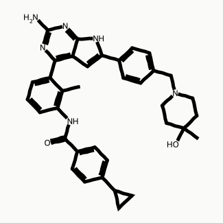 Cc1c(NC(=O)c2ccc(C3CC3)cc2)cccc1-c1nc(N)nc2[nH]c(-c3ccc(CN4CCC(C)(O)CC4)cc3)cc12